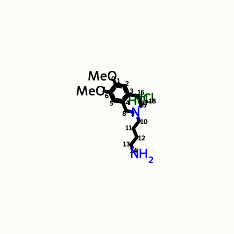 COc1cc2c(cc1OC)CN(CCCCN)CC2.Cl.Cl